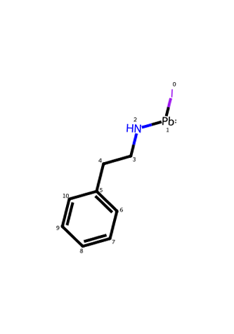 [I][Pb][NH]CCc1ccccc1